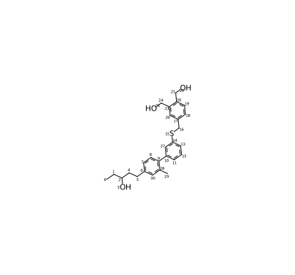 CCC(O)CCc1ccc(-c2cccc(SCc3ccc(CO)c(CO)c3)c2)c(C)c1